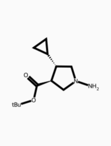 CC(C)(C)OC(=O)[C@@H]1CN(N)C[C@H]1C1CC1